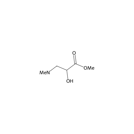 CNCC(O)C(=O)OC